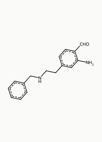 Nc1cc(CCNCc2ccccc2)ccc1C=O